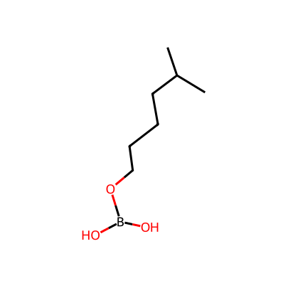 CC(C)CCCCOB(O)O